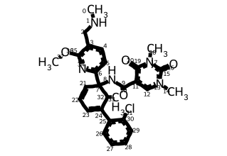 CNCc1ccc(C2(NC(=O)c3cn(C)c(=O)n(C)c3=O)C=CC=C(c3ccccc3Cl)C2C)nc1OC